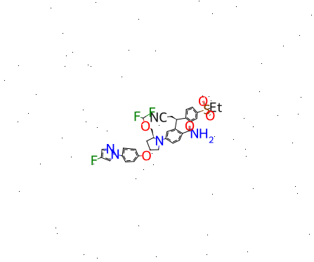 CCS(=O)(=O)c1ccc([C@H](CC#N)c2cc(N3C[C@@H](Oc4ccc(-n5cc(F)cn5)cc4)C[C@H]3COC(F)F)ccc2C(N)=O)cc1